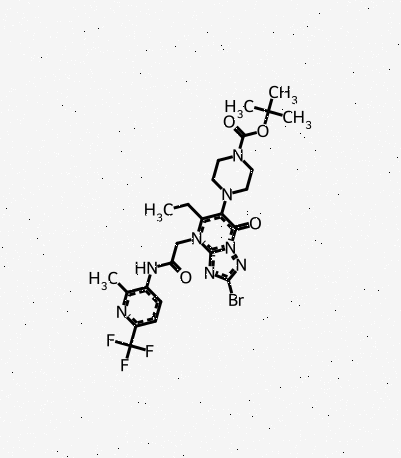 CCc1c(N2CCN(C(=O)OC(C)(C)C)CC2)c(=O)n2nc(Br)nc2n1CC(=O)Nc1ccc(C(F)(F)F)nc1C